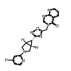 O=c1c2cccnc2ncn1Cc1nc([C@@H]2[C@@H]3CN(c4cc(F)ccn4)C[C@@H]32)no1